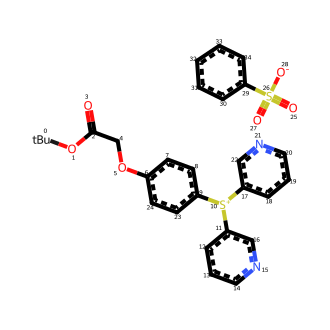 CC(C)(C)OC(=O)COc1ccc([S+](c2cccnc2)c2cccnc2)cc1.O=S(=O)([O-])c1ccccc1